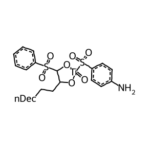 CCCCCCCCCCCCC1[O][Ti](=[O])([S](=O)(=O)c2ccc(N)cc2)[O]C1S(=O)(=O)c1ccccc1